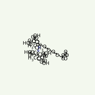 C=C(/C=C/C=C1/N(CCOCCOCCOCCOCCC(=O)ON2C(=O)CCC2=O)c2ccc3c(S(=O)(=O)O)cc(S(=O)(=O)O)cc3c2C1(C)C)C(C)(CCCS(=O)(=O)O)c1c(C)ccc2c(S(=O)(=O)O)cc(S(=O)(=O)O)cc12